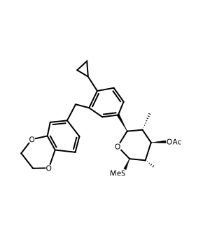 CS[C@H]1O[C@@H](c2ccc(C3CC3)c(Cc3ccc4c(c3)OCCO4)c2)[C@H](C)[C@@H](OC(C)=O)[C@@H]1C